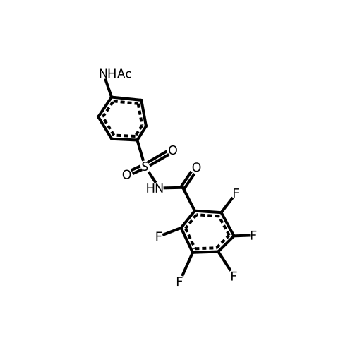 CC(=O)Nc1ccc(S(=O)(=O)NC(=O)c2c(F)c(F)c(F)c(F)c2F)cc1